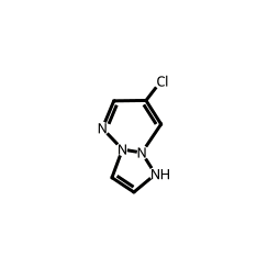 ClC1=CN2NC=CN2N=C1